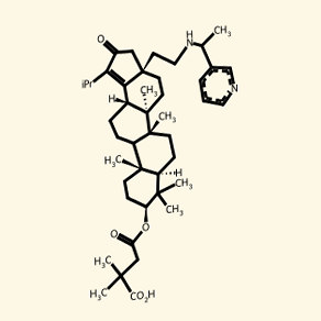 CC(C)C1=C2[C@H]3CCC4[C@@]5(C)CC[C@H](OC(=O)CC(C)(C)C(=O)O)C(C)(C)[C@@H]5CC[C@@]4(C)[C@]3(C)CC[C@@]2(CCNC(C)c2cccnc2)CC1=O